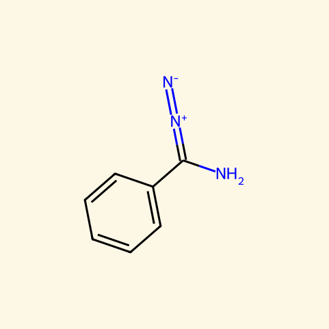 [N-]=[N+]=C(N)c1ccccc1